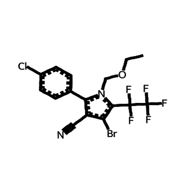 CCOCn1c(-c2ccc(Cl)cc2)c(C#N)c(Br)c1C(F)(F)C(F)(F)F